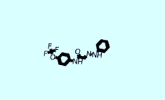 O=C(C=NNc1ccccc1)Nc1ccc(OC(F)(F)F)cc1